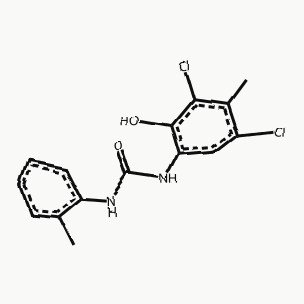 Cc1ccccc1NC(=O)Nc1cc(Cl)c(C)c(Cl)c1O